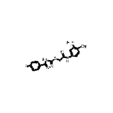 Cc1ccc(NC(=O)CSc2nnc(-c3ccc(F)cc3)[nH]2)cc1C